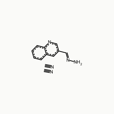 C#N.C#N.NN=Cc1cnc2ccccc2c1